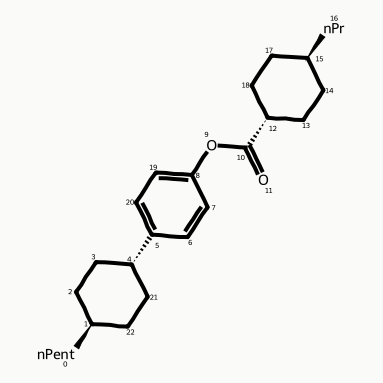 CCCCC[C@H]1CC[C@H](c2ccc(OC(=O)[C@H]3CC[C@H](CCC)CC3)cc2)CC1